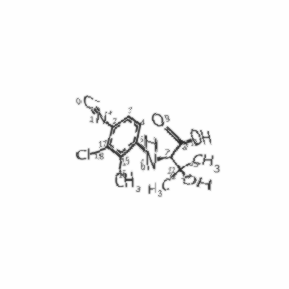 [C-]#[N+]c1ccc(N[C@@H](C(=O)O)C(C)(C)O)c(C)c1Cl